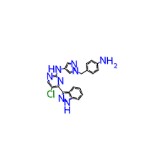 Nc1ccc(Cn2cc(Nc3ncc(Cl)c(-c4n[nH]c5ccccc45)n3)cn2)cc1